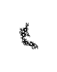 CCOc1cc(CN2CC3(CC(N4CCC(C)(C(=O)O)CC4)=NO3)C2)cc(OCC)c1-c1ccc(C#N)cc1